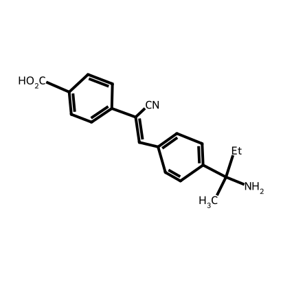 CCC(C)(N)c1ccc(/C=C(\C#N)c2ccc(C(=O)O)cc2)cc1